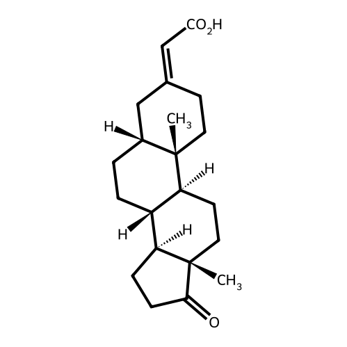 C[C@]12CCC(=CC(=O)O)C[C@H]1CC[C@@H]1[C@@H]2CC[C@]2(C)C(=O)CC[C@@H]12